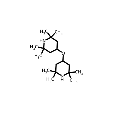 CC1(C)CC(OC2CC(C)(C)NC(C)(C)C2)CC(C)(C)N1